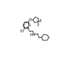 CCc1ccc(OC2CCC(F)(F)C2)nc1CCNCCC1CCCCC1